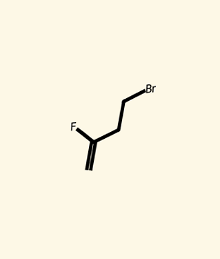 [CH]=C(F)CCBr